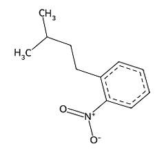 CC(C)CCc1ccccc1[N+](=O)[O-]